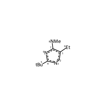 CCc1cnc(C(C)(C)C)nc1NC